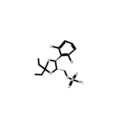 CCC1(CC)O[C@@H](COS(N)(=O)=O)[C@H](c2c(Cl)cccc2Cl)O1